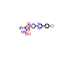 CC(C)[C@@H](CS(=O)(=O)N1CCC(c2ncc(-c3ccc(Cl)cc3)cn2)CC1)C(=O)NO